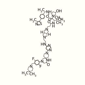 Cc1ncsc1-c1ccc([C@H](C)NC(=O)[C@@H]2C[C@@H](O)CN2C(=O)[C@@H](NC(=O)CCN2C[C@H]3CN(CCNc4cc(N5CCC6(CC5)CN(c5cc(F)c(CN7CCC(C)(C)CC7)cc5F)CC(=O)N6)ncn4)C[C@H]3C2)C(C)(C)C)cc1